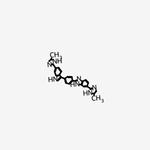 CC1CN=C(c2ccc3nc(-c4ccc(-c5c[nH]c6cc(C7=NCC(C)N7)ccc56)cc4)[nH]c3c2)N1